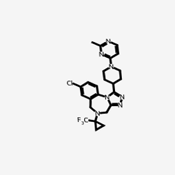 Cc1nccc(N2CCC(c3nnc4n3-c3ccc(Cl)cc3CN(C3(C(F)(F)F)CC3)C4)CC2)n1